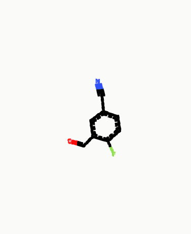 N#Cc1ccc(F)c(C=O)c1